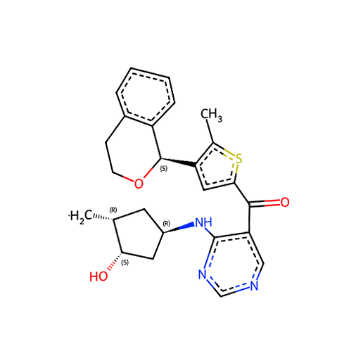 [CH2][C@@H]1C[C@@H](Nc2ncncc2C(=O)c2cc([C@H]3OCCc4ccccc43)c(C)s2)C[C@@H]1O